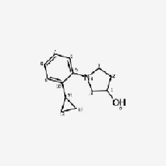 OC1CCN(c2ccccc2C2CC2)C1